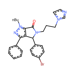 CCCCn1nc(-c2ccccc2)c2c1C(=O)N(CCCn1ccnc1)C2c1ccc(Br)cc1